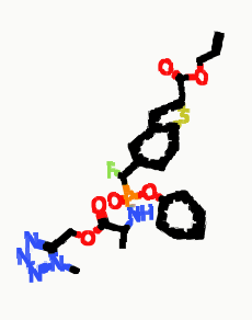 C=CCOC(=O)c1cc2cc(C(F)P(=O)(NC(C)C(=O)OCc3nnnn3C)Oc3ccccc3)ccc2s1